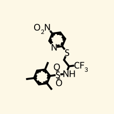 Cc1cc(C)c(S(=O)(=O)NC(CSc2ccc([N+](=O)[O-])cn2)C(F)(F)F)c(C)c1